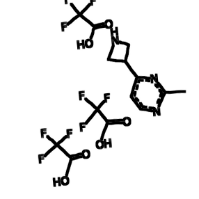 Cc1nccc(C2CNC2)n1.O=C(O)C(F)(F)F.O=C(O)C(F)(F)F.O=C(O)C(F)(F)F